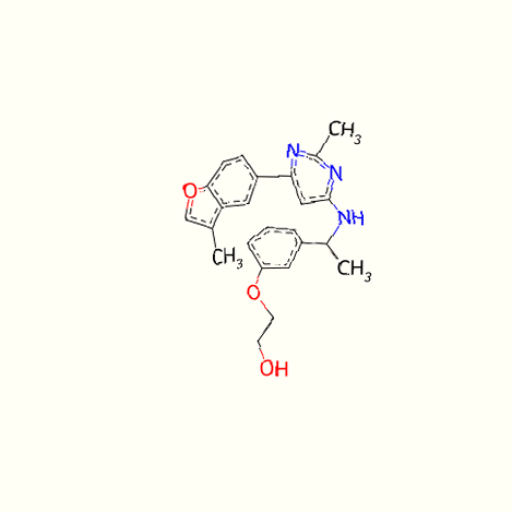 Cc1nc(NC(C)c2cccc(OCCO)c2)cc(-c2ccc3occ(C)c3c2)n1